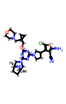 N#Cc1c(N)sc(Cl)c1C1CCN(c2nc(OCC3(CN4CCOCC4)CC3)nc(N3C[C@H]4CC[C@@H](C3)N4)n2)C1